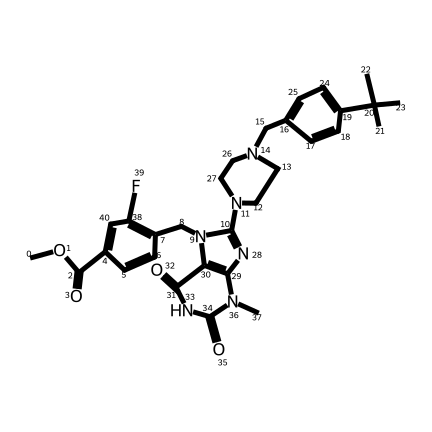 COC(=O)c1ccc(Cn2c(N3CCN(Cc4ccc(C(C)(C)C)cc4)CC3)nc3c2c(=O)[nH]c(=O)n3C)c(F)c1